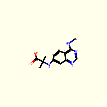 CNc1ncnc2cc(NC(C)(C)C(=O)O)ccc12